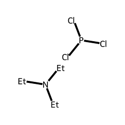 CCN(CC)CC.ClP(Cl)Cl